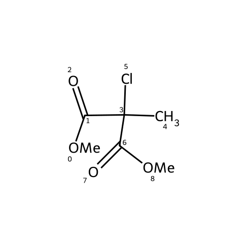 COC(=O)C(C)(Cl)C(=O)OC